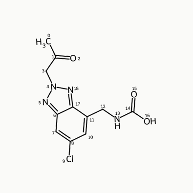 CC(=O)Cn1nc2cc(Cl)cc(CNC(=O)O)c2n1